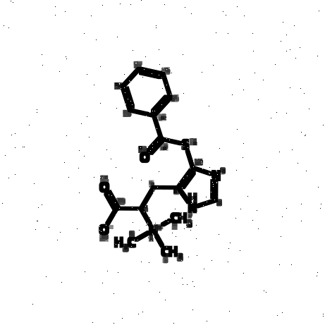 C[N+](C)(C)C(Cc1[nH]cnc1SC(=O)c1ccccc1)C(=O)[O-]